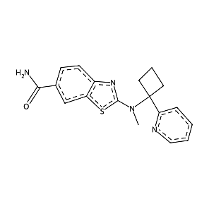 CN(c1nc2ccc(C(N)=O)cc2s1)C1(c2ccccn2)CCC1